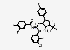 CC1C(N/C(=N\C(=O)c2ccc(F)c(F)c2)Nc2cccc(Cl)c2F)N(c2ccc(F)cc2)NC1C(F)(F)F